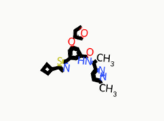 Cc1ccc(C(C)NC(=O)c2cc(O[C@H]3CCOC3)cc(-c3ncc(C4CCC4)s3)c2)nn1